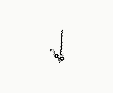 CCCCCCCCCCCCCCCCC(=O)OC1(C(CN(C)C)c2ccc(OC)cc2)CCCCC1.Cl